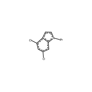 CC(C)n1ccc2c(Cl)cc(Cl)cc21